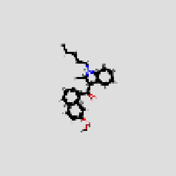 CCCCCn1c(C)c(C(=O)c2cccc3ccc(OC)cc23)c2ccccc21